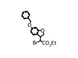 CCOC(=O)C(Br)C1COc2cc(OCc3ccccc3)ccc21